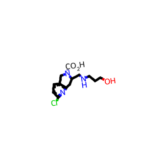 O=C(O)N1Cc2ccc(Cl)nc2CC1CNCCCO